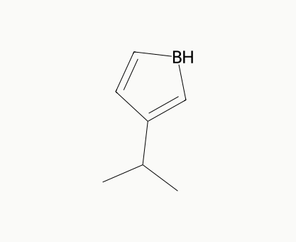 CC(C)C1=CBC=C1